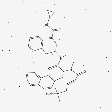 CN(C(=O)[C@@H](Cc1ccc2ccccc2c1)N(C)C(=O)/C=C/CC(C)(C)N)[C@@H](CNC(=S)NC1CC1)Cc1ccccc1